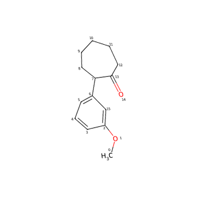 COc1cccc(C2CCCCCC2=O)c1